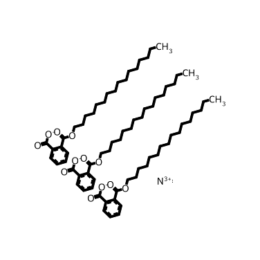 CCCCCCCCCCCCCCCCOC(=O)c1ccccc1C(=O)[O-].CCCCCCCCCCCCCCCCOC(=O)c1ccccc1C(=O)[O-].CCCCCCCCCCCCCCCCOC(=O)c1ccccc1C(=O)[O-].[N+3]